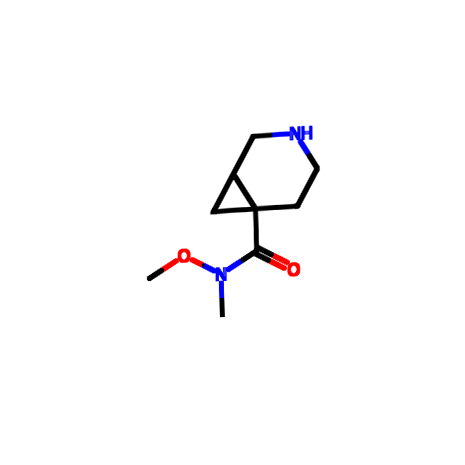 CON(C)C(=O)C12CCNCC1C2